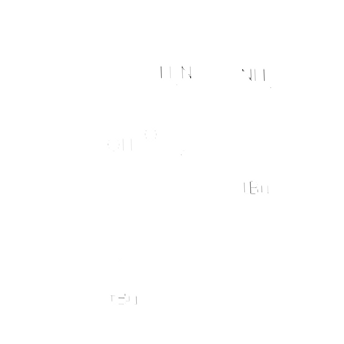 CC(C(=O)C(CC(C)(C)C)c1cc(C(C)(C)C)ccc1O)=C(N)N